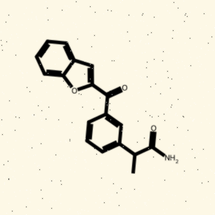 CC(C(N)=O)c1cccc(C(=O)c2cc3ccccc3o2)c1